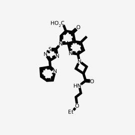 CCOCCNC(=O)C1CN(c2cc(C)c3c(=O)c(C(=O)O)cn(-c4nc(-c5ccccn5)ns4)c3n2)C1